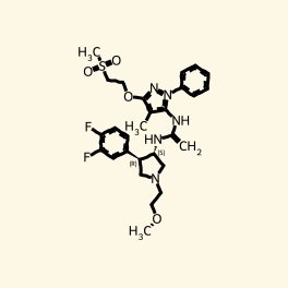 C=C(Nc1c(C)c(OCCS(C)(=O)=O)nn1-c1ccccc1)N[C@@H]1CN(CCOC)C[C@H]1c1ccc(F)c(F)c1